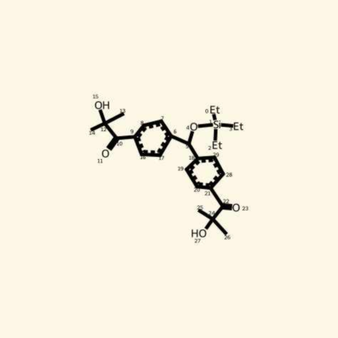 CC[Si](CC)(CC)OC(c1ccc(C(=O)C(C)(C)O)cc1)c1ccc(C(=O)C(C)(C)O)cc1